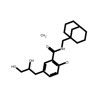 O=C(NCC12CCCC(CCC1)C2)c1cc(CC(O)CO)ccc1Cl.[CH2]